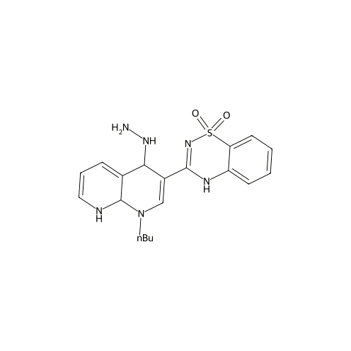 CCCCN1C=C(C2=NS(=O)(=O)c3ccccc3N2)C(NN)C2=CC=CNC21